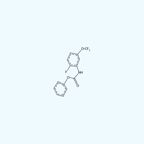 O=C(Nc1cc(OC(F)(F)F)ccc1F)Oc1ccccc1